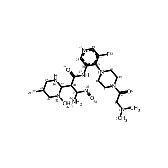 CN(C)CC(=O)N1CCN(c2c(F)cncc2NC(=O)C(C(N)N=O)C2NCC(F)CN2C)CC1